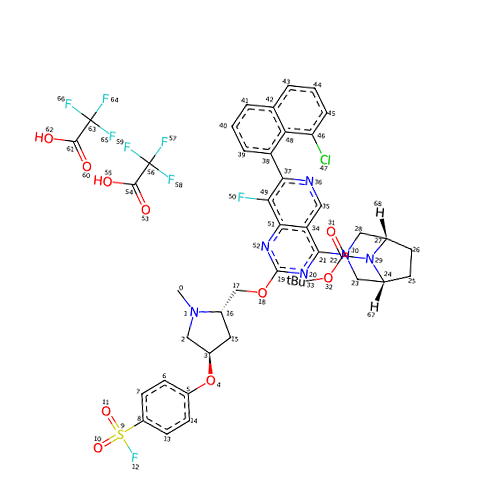 CN1C[C@H](Oc2ccc(S(=O)(=O)F)cc2)C[C@H]1COc1nc(N2C[C@H]3CC[C@@H](C2)N3C(=O)OC(C)(C)C)c2cnc(-c3cccc4cccc(Cl)c34)c(F)c2n1.O=C(O)C(F)(F)F.O=C(O)C(F)(F)F